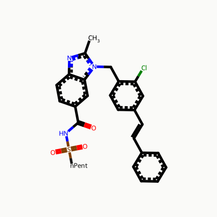 CCCCCS(=O)(=O)NC(=O)c1ccc2nc(C)n(Cc3ccc(C=Cc4ccccc4)cc3Cl)c2c1